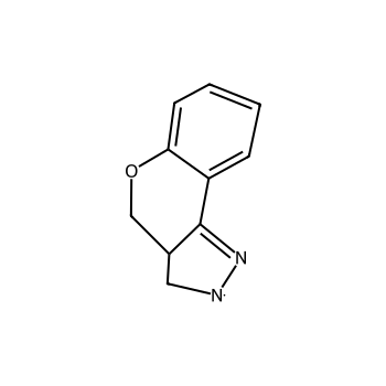 c1ccc2c(c1)OCC1C[N]N=C21